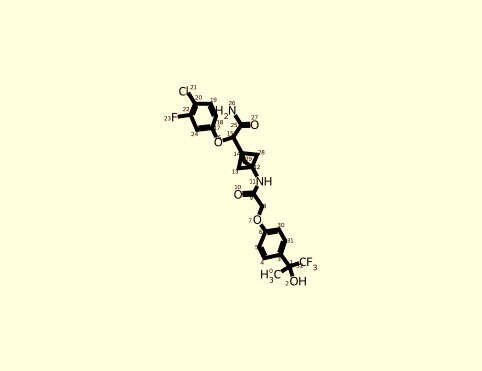 CC(O)(c1ccc(OCC(=O)NC23CC(C(Oc4ccc(Cl)c(F)c4)C(N)=O)(C2)C3)cc1)C(F)(F)F